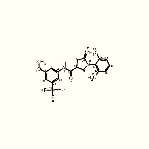 COc1cc(NC(=O)C2CC(=O)N(c3c(C)cccc3C)C2)cc(C(F)(F)F)c1